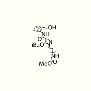 COC(=O)CNC(C)(C)/C=C/n1ncc(C(=O)NC2C(CCO)CC3CC2C3(C)C)c1OCC(C)C